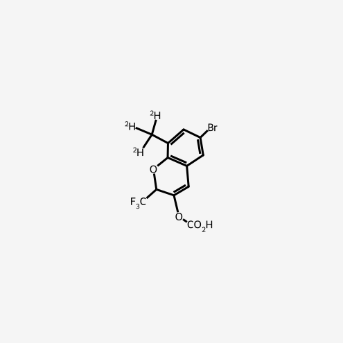 [2H]C([2H])([2H])c1cc(Br)cc2c1OC(C(F)(F)F)C(OC(=O)O)=C2